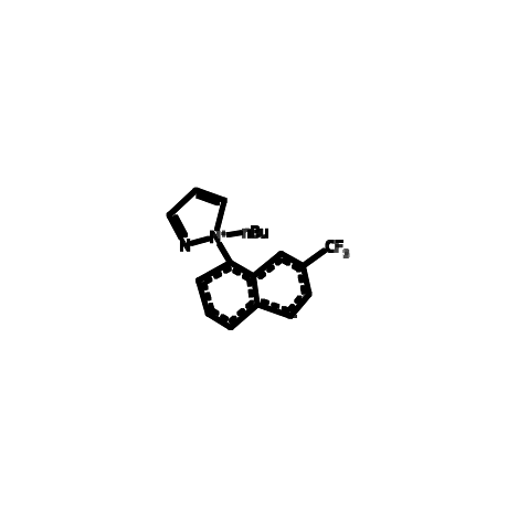 CCCC[N+]1(c2cccc3[c]cc(C(F)(F)F)cc23)C=CC=N1